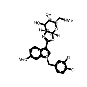 CNC[C@H]1O[C@@H]2OC(c3cn(Cc4ccc(Cl)c(Cl)c4)c4cc(OC)ccc34)=N[C@@H]2C(O)[C@@H]1O